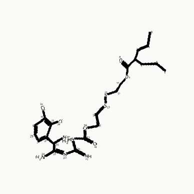 CCCC(CCC)C(=O)OCCSSCCOC(=O)NC(=N)/N=C(/N)C(N)c1cccc(Cl)c1Cl